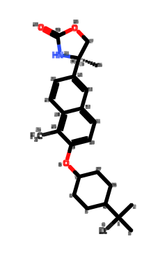 CCC(C)(C)C1CCC(Oc2ccc3cc([C@]4(C)COC(=O)N4)ccc3c2C(F)(F)F)CC1